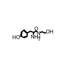 NC(Cc1ccc(O)cc1)C(=O)NCCO